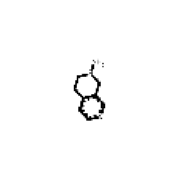 NN1CCc2ccncc2C1